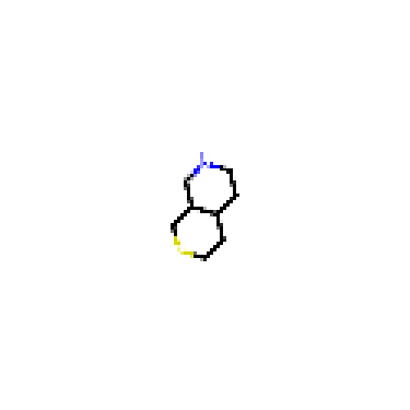 C1CC2CCSCC2CN1